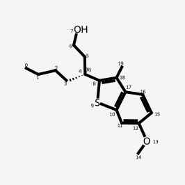 CCCC[C@H](CCO)c1sc2cc(OC)ccc2c1C